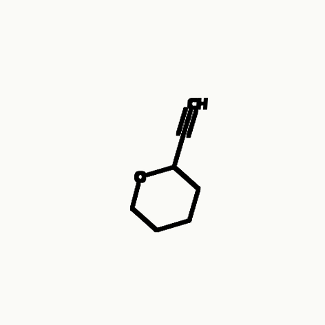 C#CC1CCCCO1